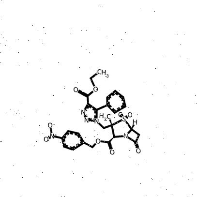 CCOC(=O)c1nnn(C[C@@]2(C)[C@H](C(=O)OCc3ccc([N+](=O)[O-])cc3)N3C(=O)C[C@H]3S2(=O)=O)c1-c1ccccc1